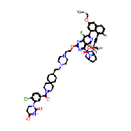 COCOc1cc(-c2ncc3c(N4CC5CCC(C4)N5C(=O)OC(C)(C)C)nc(OCCN4CCN(CCC5CCC6(CC5)CCN(C(=O)c5ccc(Cl)c(N7CCC(=O)NC7=O)c5)CC6)CC4)nc3c2F)c2c(C#C[Si](C(C)C)(C(C)C)C(C)C)c(F)ccc2c1